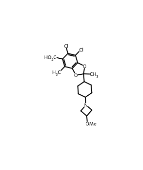 COC1CN(C2CCC(C3(C)Oc4c(C)c(C(=O)O)c(Cl)c(Cl)c4O3)CC2)C1